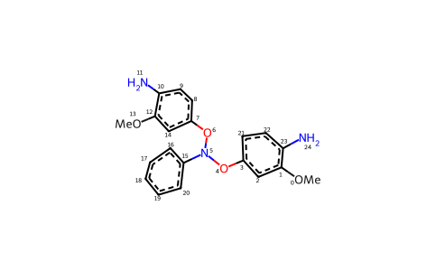 COc1cc(ON(Oc2ccc(N)c(OC)c2)c2ccccc2)ccc1N